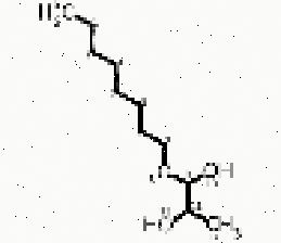 CCCCCCCCOC(O)C(C)O